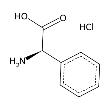 Cl.N[C@@H](C(=O)O)c1ccccc1